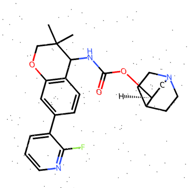 CC1(C)COc2cc(-c3cccnc3F)ccc2C1NC(=O)O[C@H]1CN2CCC1CC2